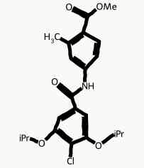 COC(=O)c1ccc(NC(=O)c2cc(OC(C)C)c(Cl)c(OC(C)C)c2)cc1C